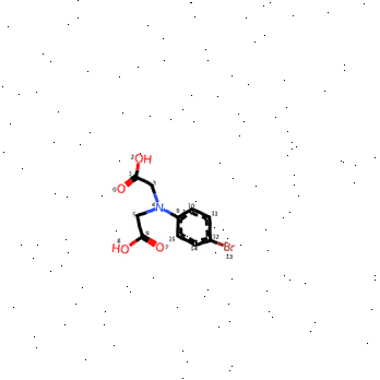 O=C(O)CN(CC(=O)O)c1ccc(Br)cc1